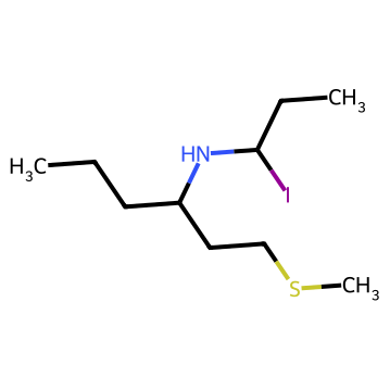 CCCC(CCSC)NC(I)CC